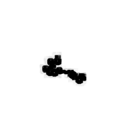 O=C(OCn1c(=O)ccc2ccc(OCCCCN3CCN(c4cccc5sccc45)CC3)cc21)c1cccnc1